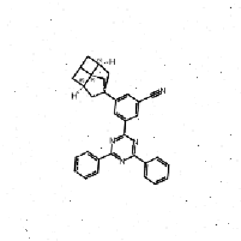 N#Cc1cc(-c2nc(-c3ccccc3)nc(-c3ccccc3)n2)cc(C23C[C@H]4CC5C[C@@H](C2)[C@@]54C3)c1